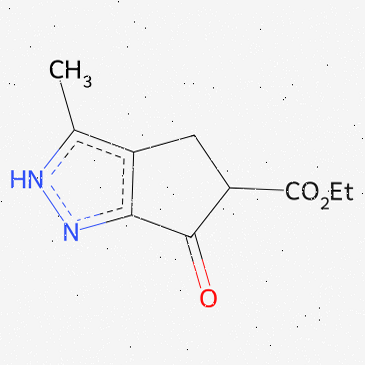 CCOC(=O)C1Cc2c(n[nH]c2C)C1=O